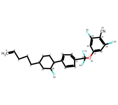 C=CCCCC1CCC(c2ccc(C(F)(F)Oc3cc(F)c(C#N)c(F)c3)cc2)C(F)C1